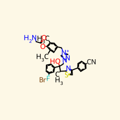 Cc1cc(C[n+]2cnn(CC(O)(c3cccc(F)c3)C(C)c3nc(-c4ccc(C#N)cc4)cs3)c2)cc(C)c1OC(=O)CN.[Br-]